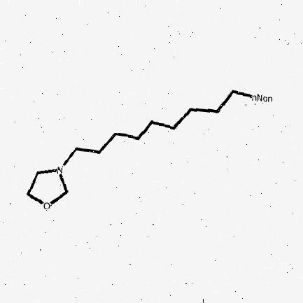 CCCCCCCCCCCCCCCCCCN1CCOC1